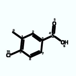 Cc1cc(S(=O)O)ccc1Cl